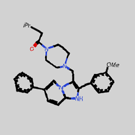 COc1cccc(C2=C(CN3CCN(C(=O)CC(C)C)CC3)N3C=C(c4ccccc4)C=CC3N2)c1